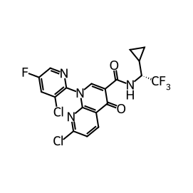 O=C(N[C@H](C1CC1)C(F)(F)F)c1cn(-c2ncc(F)cc2Cl)c2nc(Cl)ccc2c1=O